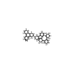 c1cc(-c2ccc3c4ccccc4c4ccncc4c3c2)cc(-c2cccc3c2-c2ccccc2-c2ccccc2-c2ccccc2-3)c1